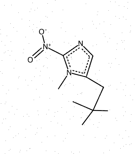 Cn1c(CC(C)(C)C)cnc1[N+](=O)[O-]